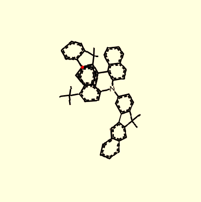 CC(C)(C)c1ccc(N(c2ccc3c(c2)-c2cc4ccccc4cc2C3(C)C)c2ccc3ccccc3c2-c2cccc3c2C(C)(C)c2ccccc2-3)c2ccccc12